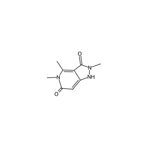 Cc1c2c(=O)n(C)[nH]c2cc(=O)n1C